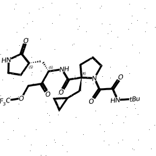 CC(C)(C)NC(=O)C(=O)N1CCC[C@@]1(CC1CC1)C(=O)N[C@@H](C[C@@H]1CCNC1=O)C(=O)COC(F)(F)F